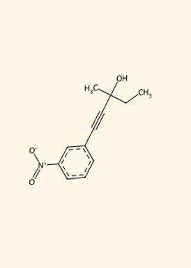 CCC(C)(O)C#Cc1cccc([N+](=O)[O-])c1